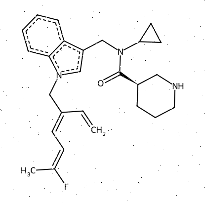 C=C/C(=C\C=C(/C)F)Cn1cc(CN(C(=O)[C@@H]2CCCNC2)C2CC2)c2ccccc21